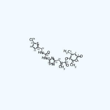 Cc1cc(=O)oc(C)c1OC(=O)N(C)Cc1nsc(NC(=O)NCc2ccc(Cl)s2)n1